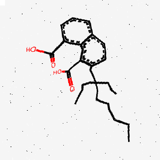 CCCCCC(CC)(CC)c1ccc2cccc(C(=O)O)c2c1C(=O)O